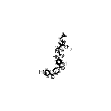 Cn1c(-c2cn(CC3CC3)nc2C(F)(F)F)cnc1C(=O)Nc1ccc(C(=O)N2CCN(C(=O)C3CCNCC3)CC2)c(Cl)c1